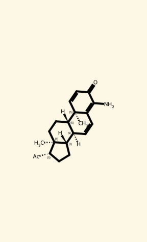 CC(=O)[C@H]1CC[C@H]2[C@@H]3C=CC4=C(N)C(=O)C=C[C@]4(C)[C@H]3CC[C@]12C